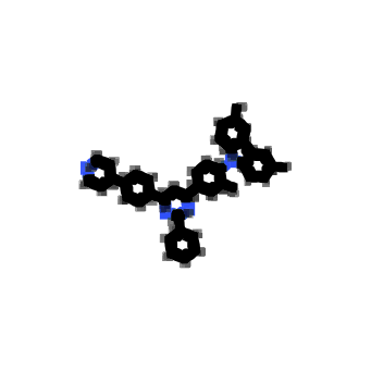 Cc1ccc2c(c1)c1cc(C)ccc1n2-c1ccc(-c2cc(-c3ccc(-c4ccncc4)cc3)nc(-c3ccccc3)n2)cc1C